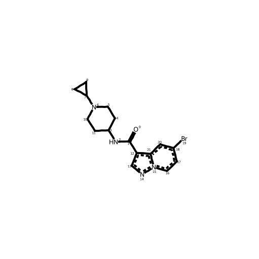 O=C(NC1CCN(C2CC2)CC1)c1cnn2ccc(Br)cc12